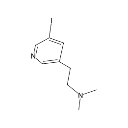 CN(C)CCc1cncc(I)c1